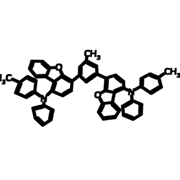 Cc1ccc(N(c2ccccc2)c2ccc(-c3cc(C)cc(-c4ccc(N(c5ccccc5)c5ccc(C)cc5)c5c4oc4ccccc45)c3)c3oc4ccccc4c23)cc1